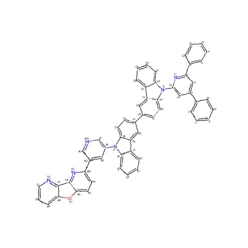 c1ccc(-c2cc(-c3ccccc3)nc(-n3c4ccccc4c4cc(-c5ccc6c(c5)c5ccccc5n6-c5cncc(-c6ccc7oc8cccnc8c7n6)c5)ccc43)c2)cc1